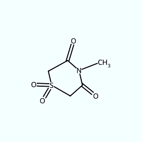 CN1C(=O)CS(=O)(=O)CC1=O